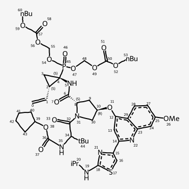 C=C[C@@H]1C[C@]1(NC(=O)[C@@H]1C[C@@H](Oc2cc(-c3csc(NC(C)C)n3)nc3cc(OC)ccc23)CN1C(=O)C(NC(=O)OC1CCCC1)C(C)(C)C)P(=O)(OCOC(=O)OCCCC)OCOC(=O)OCCCC